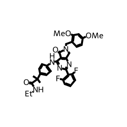 CCNC(=O)C(C)(C)c1ccc(Nc2nc(-c3c(F)cccc3F)nc3c2C(=O)N(Cc2ccc(OC)cc2OC)C3)cc1